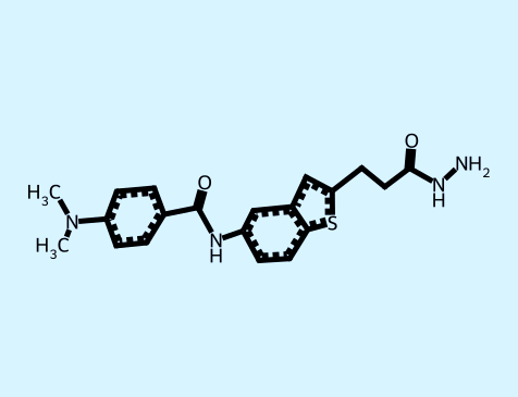 CN(C)c1ccc(C(=O)Nc2ccc3sc(CCC(=O)NN)cc3c2)cc1